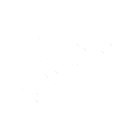 CC(=O)c1c(O)c(/N=N/c2ccnn2C)c(O)c(/N=N/c2ccnn2C)c1O